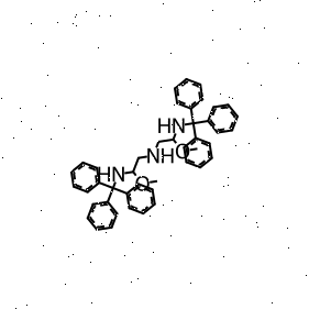 COC(CNCC(NC(c1ccccc1)(c1ccccc1)c1ccccc1)OC)NC(c1ccccc1)(c1ccccc1)c1ccccc1